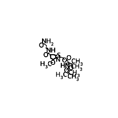 COc1cc(C(=O)NCCC(N)=O)cc2sc(COC(=O)[C@@H](NC(=O)OC(C)(C)C)C(C)C)nc12